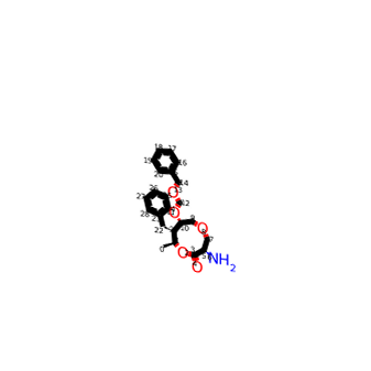 C[C@@H]1OC(=O)[C@@H](N)COC[C@H](OCOCc2ccccc2)[C@H]1Cc1ccccc1